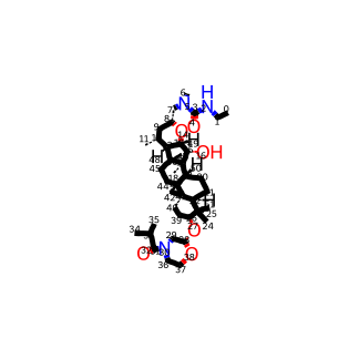 CCNC(=O)N(C)C[C@H]1C[C@@H](C)[C@H]2[C@H](O1)[C@H](O)[C@@]1(C)[C@@H]3CC[C@H]4C(C)(C)[C@@H](O[C@H]5CN(C(=O)C(C)C)CCO5)CC[C@@]45C[C@@]35CC[C@]21C